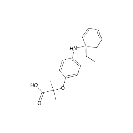 CCC1(Nc2ccc(OC(C)(C)C(=O)O)cc2)C=CC=CC1